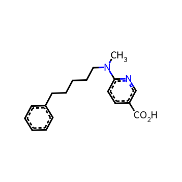 CN(CCCCCc1ccccc1)c1ccc(C(=O)O)cn1